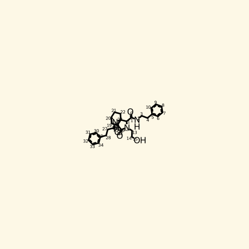 O=C(NCCc1ccccc1)C1N(CCO)C(=O)[C@H]2CC3CCC12N3C(=O)CCc1ccccc1